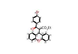 CCOC(=O)C(C(=O)c1ccc(Br)cc1)C1c2ccccc2Oc2ccccc21